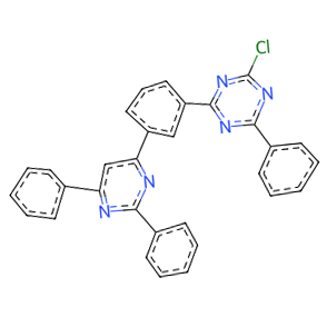 Clc1nc(-c2ccccc2)nc(-c2cccc(-c3cc(-c4ccccc4)nc(-c4ccccc4)n3)c2)n1